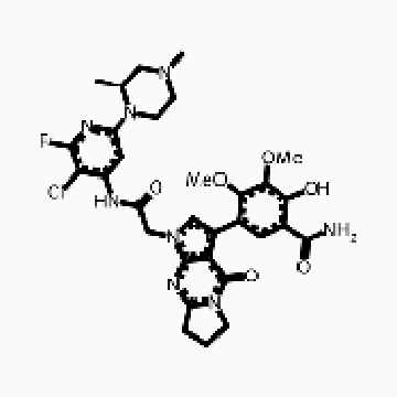 COc1c(-c2cn(CC(=O)Nc3cc(N4CCN(C)C[C@@H]4C)nc(F)c3Cl)c3nc4n(c(=O)c23)CCC4)cc(C(N)=O)c(O)c1OC